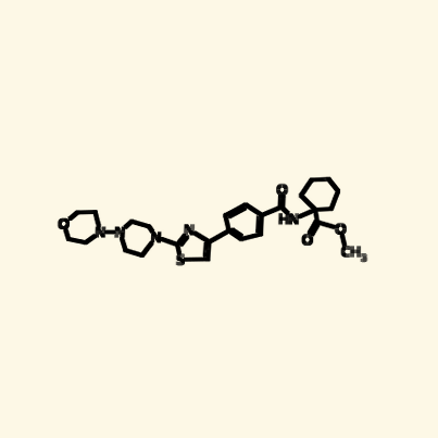 COC(=O)C1(NC(=O)c2ccc(-c3csc(N4CCN(N5CCOCC5)CC4)n3)cc2)CCCCC1